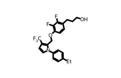 CCc1ccc(-n2ccc(C(F)(F)F)c2COc2ccc(CCCO)c(F)c2F)cc1